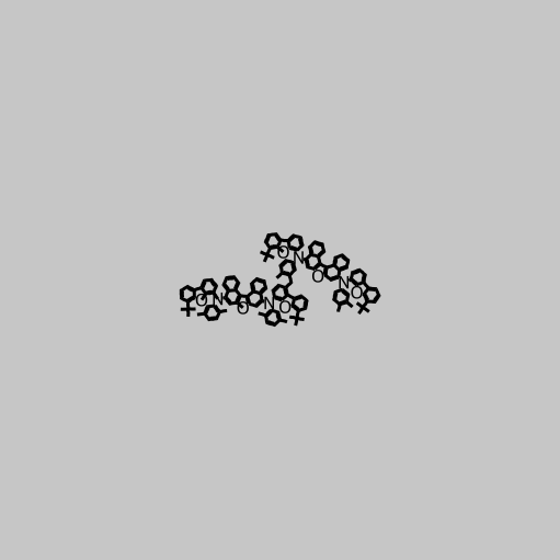 Cc1ccc(C)c(N(c2cc3oc4cc(N(c5cc(C)ccc5C)c5ccc(Cc6cc(N(c7cc8oc9cc(N(c%10ccc(C)c(C)c%10)c%10cccc%11c%10oc%10c(C(C)(C)C)cccc%10%11)c%10ccccc%10c9c8c8ccccc78)c7cccc8c7oc7c(C(C)(C)C)cccc78)ccc6C)c6c5oc5c(C(C)(C)C)cccc56)c5ccccc5c4c3c3ccccc23)c2cccc3c2oc2c(C(C)(C)C)cccc23)c1